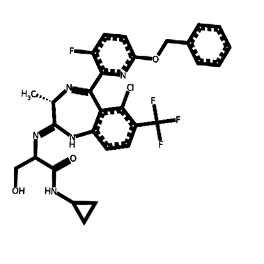 C[C@@H]1N=C(c2nc(OCc3ccccc3)ccc2F)c2c(ccc(C(F)(F)F)c2Cl)N/C1=N\C(CO)C(=O)NC1CC1